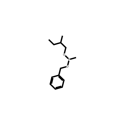 CCC(C)COP(C)OCc1ccccc1